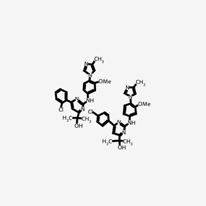 COc1cc(Nc2nc(-c3ccc(Cl)cc3)cc(C(C)(C)O)n2)ccc1-n1cnc(C)c1.COc1cc(Nc2nc(-c3ccccc3Cl)cc(C(C)(C)O)n2)ccc1-n1cnc(C)c1